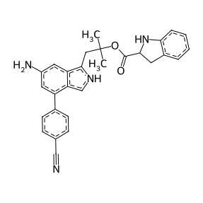 CC(C)(Cc1[nH]cc2c(-c3ccc(C#N)cc3)cc(N)cc12)OC(=O)C1Cc2ccccc2N1